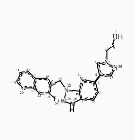 OCCn1cc(-c2ccc3c(n2)N(Cc2cc4cccnc4cc2F)NN3)cn1